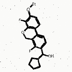 CCOc1ccc2c(c1F)OCc1c-2ccc(C(O)C2CCCC2)c1F